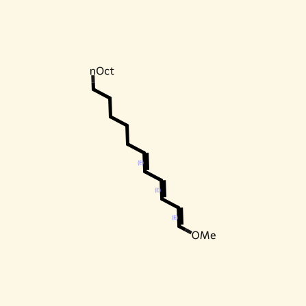 [CH2]O/C=C/C=C/C=C/CCCCCCCCCCCCC